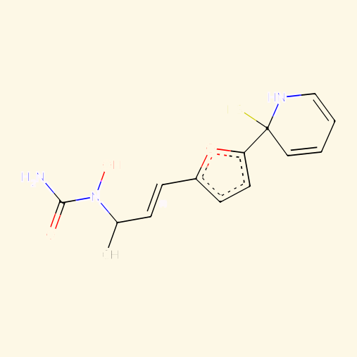 CC(/C=C/c1ccc(C2(S)C=CC=CN2)o1)N(O)C(N)=O